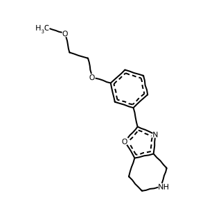 COCCOc1cccc(-c2nc3c(o2)CCNC3)c1